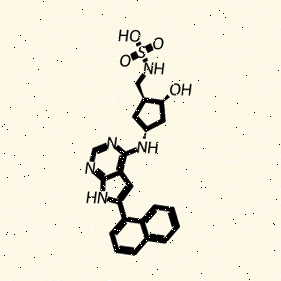 O=S(=O)(O)NC[C@@H]1C[C@@H](Nc2ncnc3[nH]c(-c4cccc5ccccc45)cc23)C[C@@H]1O